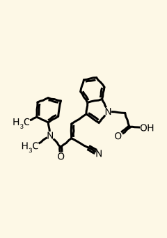 Cc1ccccc1N(C)C(=O)/C(C#N)=C/c1cn(CC(=O)O)c2ccccc12